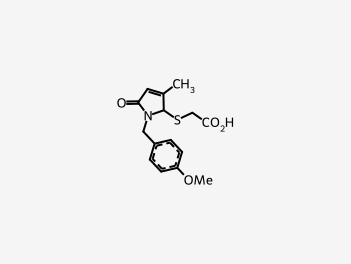 COc1ccc(CN2C(=O)C=C(C)C2SCC(=O)O)cc1